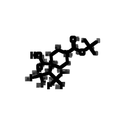 CC(C)(C)OC(=O)N1CC[N+](C(=O)O)(C(C(F)(F)F)C(F)(F)F)CC1